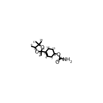 CC1OC(C)(C2=CCC(OC(N)=O)CC2)OC1(C)C